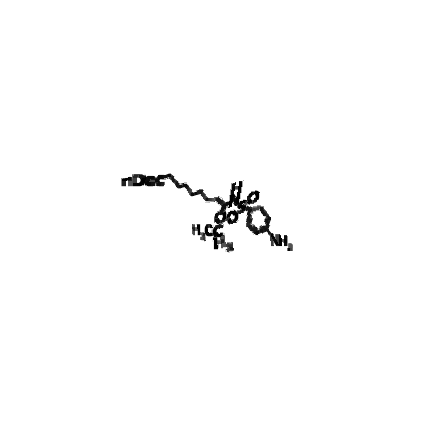 CC.CCCCCCCCCCCCCCCCCC(=O)NS(=O)(=O)c1ccc(N)cc1